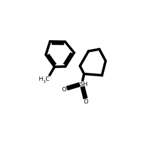 Cc1ccccc1.O=[SH](=O)C1CCCCC1